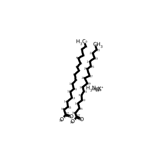 CCCCCCCCCCCCCCCCCC(=O)[O-].CCCCCCCCCCCCCCCCCC(=O)[O-].N.[K+].[K+]